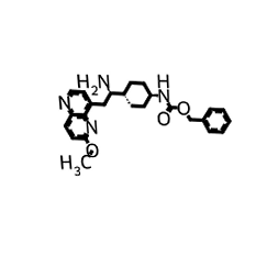 COc1ccc2nccc(C[C@H](N)[C@H]3CC[C@H](NC(=O)OCc4ccccc4)CC3)c2n1